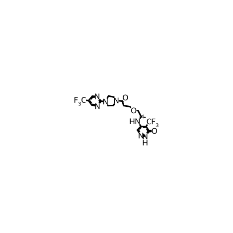 C[C@H](COCCC(=O)N1CCN(c2ncc(C(F)(F)F)cn2)CC1)Nc1cn[nH]c(=O)c1C(F)(F)F